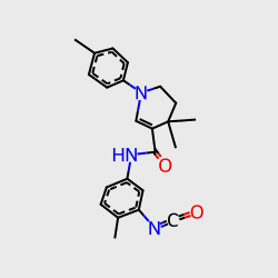 Cc1ccc(N2C=C(C(=O)Nc3ccc(C)c(N=C=O)c3)C(C)(C)CC2)cc1